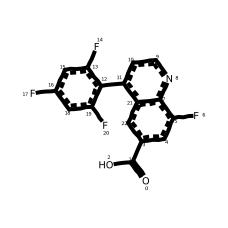 O=C(O)c1cc(F)c2nccc(-c3c(F)cc(F)cc3F)c2c1